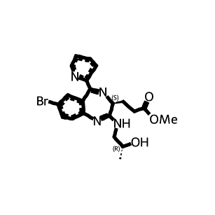 COC(=O)CC[C@@H]1N=C(c2ccccn2)c2cc(Br)ccc2N=C1NC[C@@H](C)O